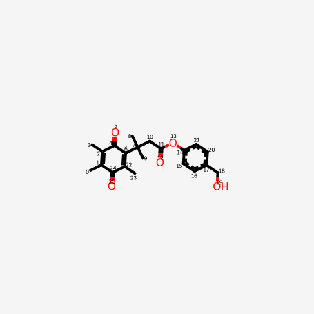 CC1=C(C)C(=O)C(C(C)(C)CC(=O)Oc2ccc(CO)cc2)=C(C)C1=O